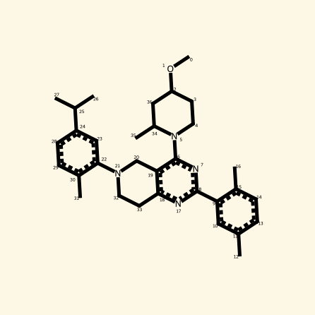 COC1CCN(c2nc(-c3cc(C)ccc3C)nc3c2CN(c2cc(C(C)C)ccc2C)CC3)C(C)C1